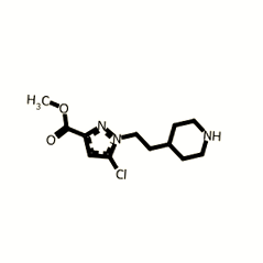 COC(=O)c1cc(Cl)n(CCC2CCNCC2)n1